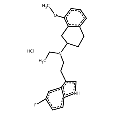 CCN(CCc1c[nH]c2ccc(F)cc12)C1CCc2cccc(OC)c2C1.Cl